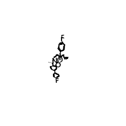 C=CCC1(c2ccc(F)cc2)CCN([C@@H](C)c2ccc(-c3ccc(F)cc3)cc2)C(=O)O1